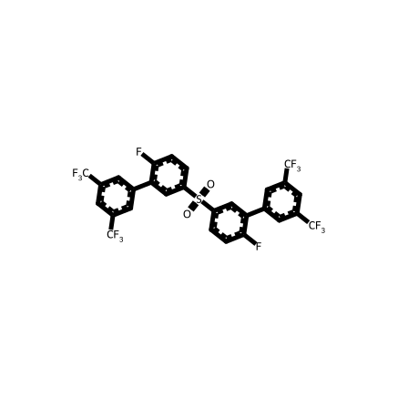 O=S(=O)(c1ccc(F)c(-c2cc(C(F)(F)F)cc(C(F)(F)F)c2)c1)c1ccc(F)c(-c2cc(C(F)(F)F)cc(C(F)(F)F)c2)c1